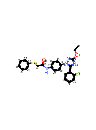 CCOc1nc(-c2ccccc2F)n(-c2ccc(NC(=O)CSc3ccccc3)cc2)n1